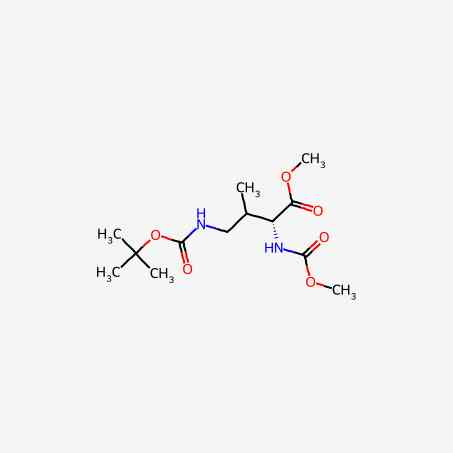 COC(=O)N[C@@H](C(=O)OC)C(C)CNC(=O)OC(C)(C)C